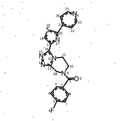 O=C(c1ccc(F)cc1)N1CCn2c(nnc2-c2csc(-c3ccncc3)n2)C1